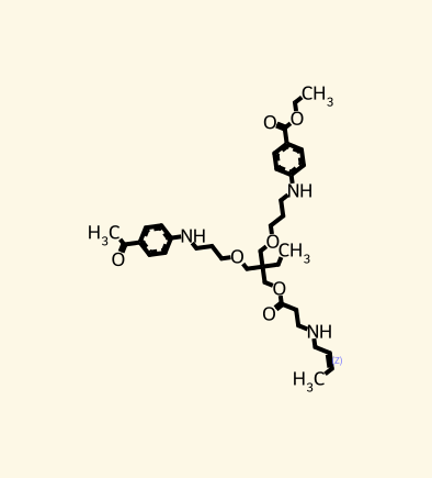 C/C=C\CNCCC(=O)OCC(CC)(COCCCNc1ccc(C(C)=O)cc1)COCCCNc1ccc(C(=O)OCC)cc1